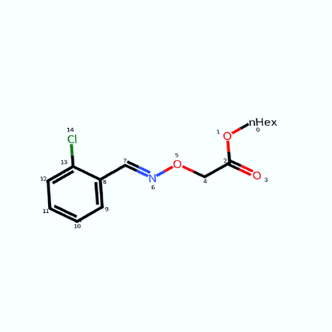 CCCCCCOC(=O)CON=Cc1c[c]ccc1Cl